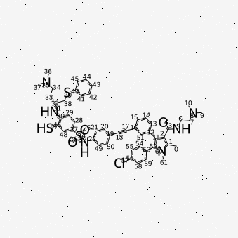 Cc1c(C(=O)NCCN(C)C)c(-c2cccc(C#Cc3ccc(NS(=O)(=O)c4ccc(N[C@H](CCN(C)C)CSc5ccccc5)c(S)c4)cc3)c2)c(-c2ccc(Cl)cc2)n1C